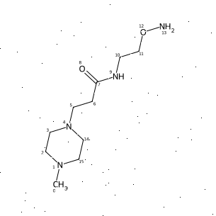 CN1CCN(CCC(=O)NCCON)CC1